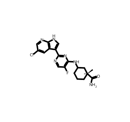 C[C@@]1(C(N)=O)CCCC(Nc2nc(-c3c[nH]c4ncc(Cl)cc34)ncc2F)C1